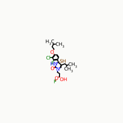 CC(C)CCOc1ccc([C@]2(S)NC(=O)N(CCC(O)OF)C=C2CC(C)C)c(F)c1Cl